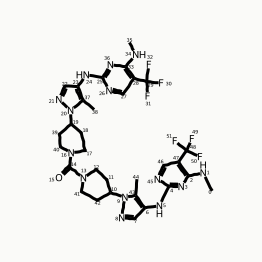 CNc1nc(Nc2cnn(C3CCN(C(=O)N4CCC(n5ncc(Nc6ncc(C(F)(F)F)c(NC)n6)c5C)CC4)CC3)c2C)ncc1C(F)(F)F